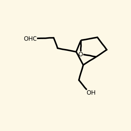 O=CCCC1C2CCC(O2)C1CO